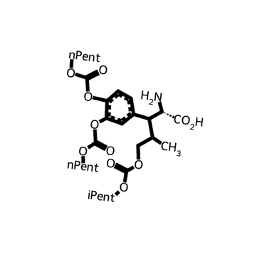 CCCCCOC(=O)Oc1ccc(C(C(C)COC(=O)OC(C)CCC)[C@H](N)C(=O)O)cc1OC(=O)OCCCCC